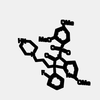 COc1ccc(S(=O)(=O)N2C(=O)C(CCCN3CCNCC3)(c3ccccc3F)c3nc(OC)ccc32)c(OC)c1